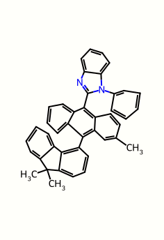 Cc1ccc2c(-c3nc4ccccc4n3-c3ccccc3)c3ccccc3c(-c3cccc4c3-c3ccccc3C4(C)C)c2c1